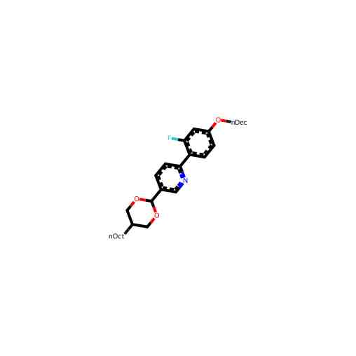 CCCCCCCCCCOc1ccc(-c2ccc(C3OCC(CCCCCCCC)CO3)cn2)c(F)c1